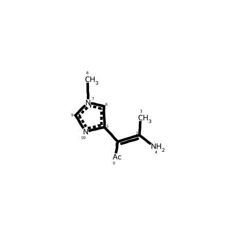 CC(=O)/C(=C(/C)N)c1cn(C)cn1